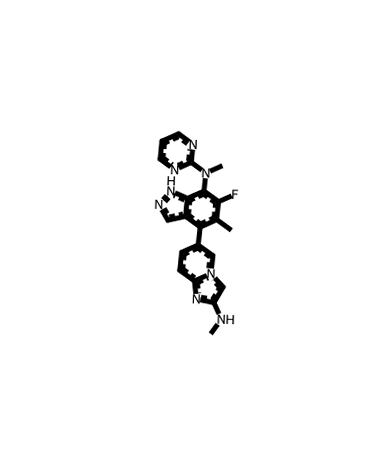 CNc1cn2cc(-c3c(C)c(F)c(N(C)c4ncccn4)c4[nH]ncc34)ccc2n1